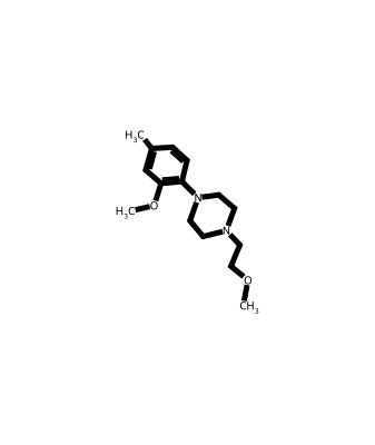 COCCN1CCN(c2ccc(C)cc2OC)CC1